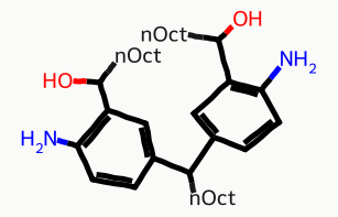 CCCCCCCCC(O)c1cc(C(CCCCCCCC)c2ccc(N)c(C(O)CCCCCCCC)c2)ccc1N